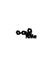 CNc1nc2ccccc2n1-c1ccc(-c2ccccc2)cc1